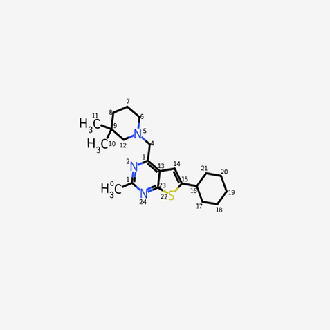 Cc1nc(CN2CCCC(C)(C)C2)c2cc(C3CCCCC3)sc2n1